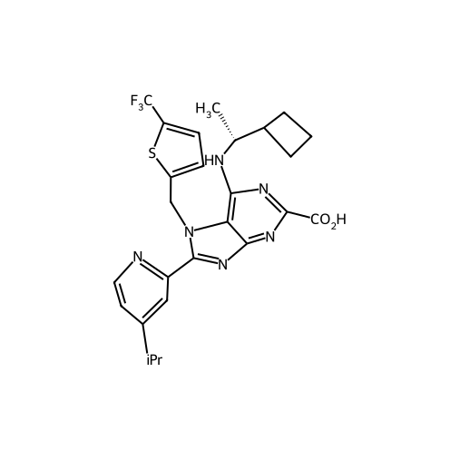 CC(C)c1ccnc(-c2nc3nc(C(=O)O)nc(N[C@H](C)C4CCC4)c3n2Cc2ccc(C(F)(F)F)s2)c1